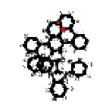 c1ccc(-c2ccccc2-c2c3ccccc3c(-c3ccccc3-c3ccccc3)c3c2nc(-c2nc4ccccc4n2-c2ccccc2)n3-c2ccccc2)cc1